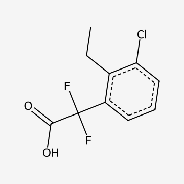 CCc1c(Cl)cccc1C(F)(F)C(=O)O